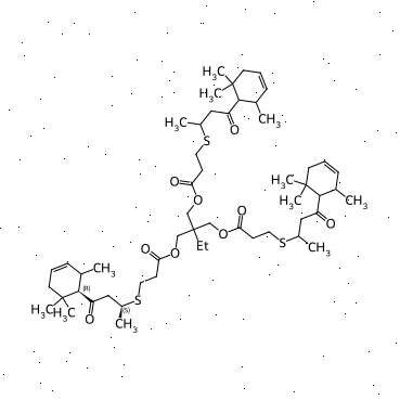 CCC(COC(=O)CCSC(C)CC(=O)C1C(C)C=CCC1(C)C)(COC(=O)CCSC(C)CC(=O)C1C(C)C=CCC1(C)C)COC(=O)CCS[C@@H](C)CC(=O)[C@@H]1C(C)C=CCC1(C)C